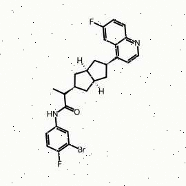 CC(C(=O)Nc1ccc(F)c(Br)c1)[C@H]1C[C@H]2C[C@@H](c3ccnc4ccc(F)cc34)C[C@H]2C1